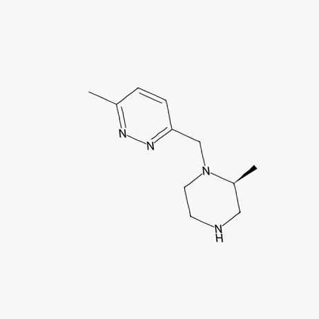 Cc1ccc(CN2CCNC[C@@H]2C)nn1